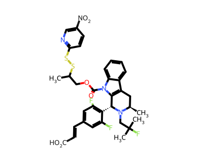 CC(COC(=O)n1c2c(c3ccccc31)C[C@@H](C)N(CC(C)(C)F)[C@@H]2c1c(F)cc(/C=C/C(=O)O)cc1F)SSc1ccc([N+](=O)[O-])cn1